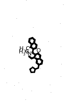 Cc1c2c(cc3ccccc13)Oc1cc3ccc(CC4CCCC4)cc3c3cc[n+](C)c-2c13